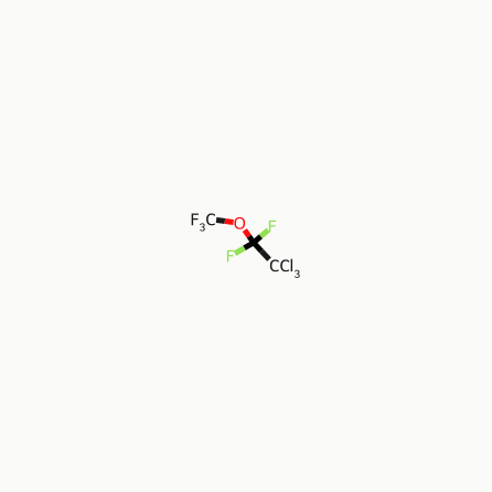 FC(F)(F)OC(F)(F)C(Cl)(Cl)Cl